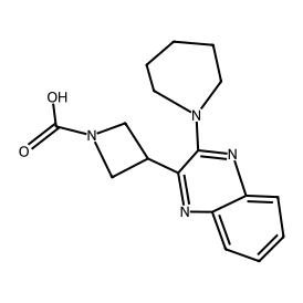 O=C(O)N1CC(c2nc3ccccc3nc2N2CCCCC2)C1